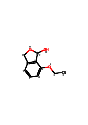 N#CCOc1cccc2c1B(O)OC2